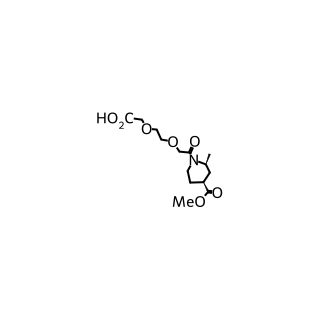 COC(=O)[C@H]1CCN(C(=O)COCCOCC(=O)O)[C@@H](C)C1